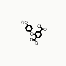 O=C(Cl)c1ccc(C(=O)Cl)c(Oc2ccc(O)cc2)c1